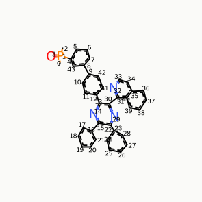 CP(C)(=O)c1cccc(-c2ccc(-c3nc(-c4ccccc4)c(-c4ccccc4)nc3-c3nccc4ccccc34)cc2)c1